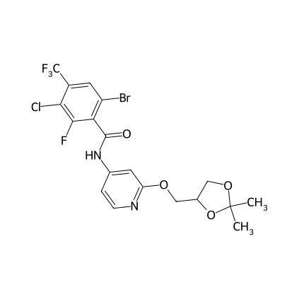 CC1(C)OCC(COc2cc(NC(=O)c3c(Br)cc(C(F)(F)F)c(Cl)c3F)ccn2)O1